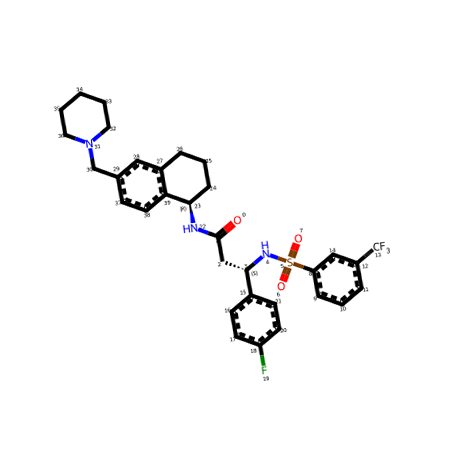 O=C(C[C@H](NS(=O)(=O)c1cccc(C(F)(F)F)c1)c1ccc(F)cc1)N[C@@H]1CCCc2cc(CN3CCCCC3)ccc21